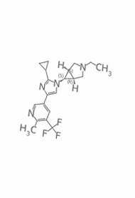 CCN1C[C@@H]2[C@H](C1)[C@H]2n1cc(-c2cnc(C)c(C(F)(F)F)c2)nc1C1CC1